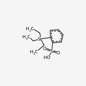 CC[Si](CC)(CC)c1ccccc1S(=O)(=O)O